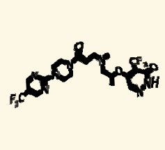 CC(CN(C)CCC(=O)N1CCN(c2ncc(C(F)(F)F)cn2)CC1)Oc1cn[nH]c(=O)c1C(F)(F)F